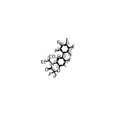 CC[C@@H](C(=O)O)N1C(=O)C(F)(F)Oc2cc(F)c(-c3c(F)c(F)c(F)c(F)c3F)cc21